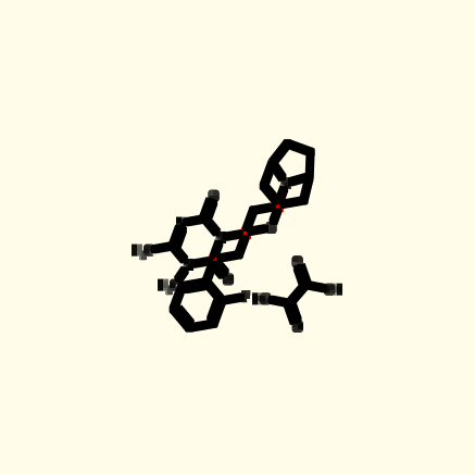 Cc1nc(=O)n(CCCN2C3CCC2CC(OCCCc2ccccc2F)C3)c(=O)n1C.O=C(O)C(=O)O